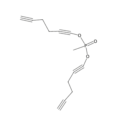 C#CCCC#COP(C)(=O)OC#CCCC#C